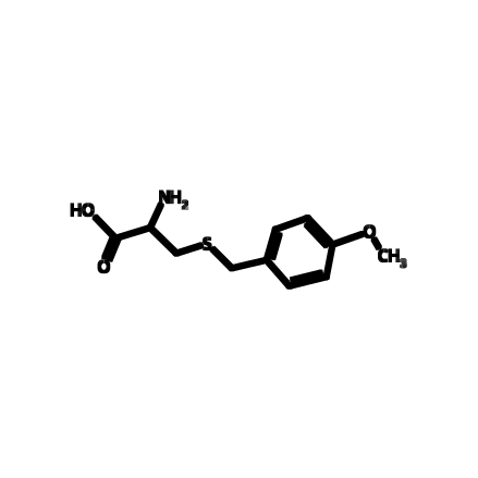 COc1ccc(CSCC(N)C(=O)O)cc1